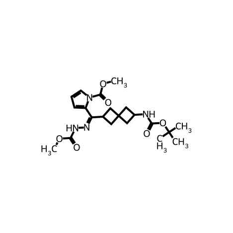 COC(=O)NN=C(c1cccn1C(=O)OC)C1CC2(CC(NC(=O)OC(C)(C)C)C2)C1